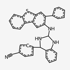 N#Cc1ccc(C2NC(Nc3cc4c(cc3-c3ccccc3)sc3ccccc34)Nc3ccccc32)cc1